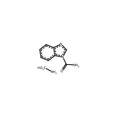 NC(=O)O.NC(=O)n1cnc2ccccc21